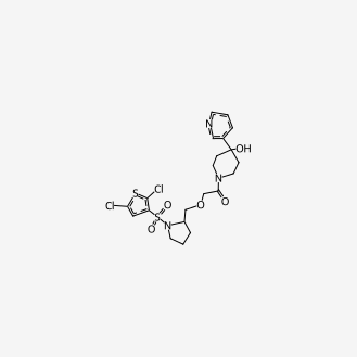 O=C(COCC1CCCN1S(=O)(=O)c1cc(Cl)sc1Cl)N1CCC(O)(c2cccnc2)CC1